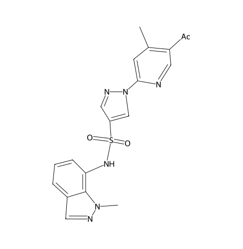 CC(=O)c1cnc(-n2cc(S(=O)(=O)Nc3cccc4cnn(C)c34)cn2)cc1C